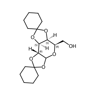 OC[C@H]1OC2OC3(CCCCC3)O[C@@H]2[C@H]2OC3(CCCCC3)O[C@H]21